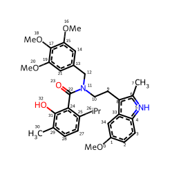 COc1ccc2[nH]c(C)c(CCN(Cc3cc(OC)c(OC)c(OC)c3)C(=O)c3c(C(C)C)ccc(C)c3O)c2c1